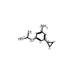 CCCC(CC)Oc1cc(N)cc(C2CC2)c1